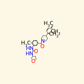 C=C(/C=C\C(C)=C/C)C1CCN(C(=O)c2ccc(C)c(NC(=O)NC3CCOC3)c2)CC1